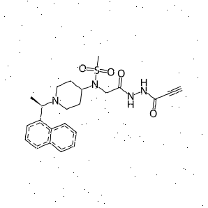 C#CC(=O)NNC(=O)CN(C1CCN([C@H](C)c2cccc3ccccc23)CC1)S(C)(=O)=O